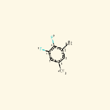 CCc1cc(C(F)(F)F)cc(F)c1F